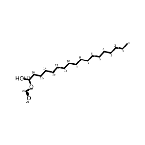 CCCCCCCCCCCCCCCCCC(O)OC=O